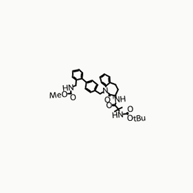 COC(=O)NCc1ccccc1-c1ccc(CN2C(=O)[C@H](NC(=O)C(C)(C)NC(=O)OC(C)(C)C)CCc3ccccc32)cc1